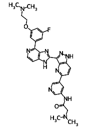 CN(C)CCOc1cc(F)cc(-c2nccc3[nH]c(-c4n[nH]c5ccc(-c6cncc(NC(=O)CN(C)C)c6)nc45)nc23)c1